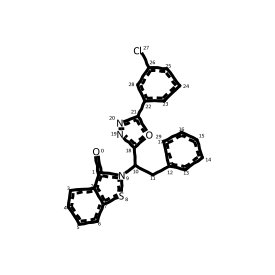 O=c1c2ccccc2sn1C(Cc1ccccc1)c1nnc(-c2cccc(Cl)c2)o1